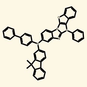 CC1(C)c2ccccc2-c2ccc(N(c3ccc(-c4ccccc4)cc3)c3ccc4c(c3)nc3n(-c5ccccc5)c5c6ccccc6oc5n43)cc21